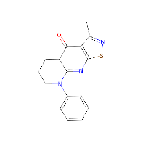 Cc1nsc2c1C(=O)C1CCCN(c3ccccc3)C1=N2